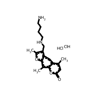 Cc1oc2c(C)c3oc(=O)cc(C)c3cc2c1CNCCCCN.Cl.Cl